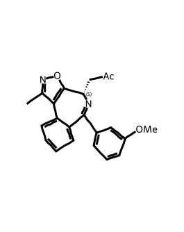 COc1cccc(C2=N[C@@H](CC(C)=O)c3onc(C)c3-c3ccccc32)c1